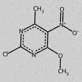 COc1nc(Cl)nc(C)c1[N+](=O)[O-]